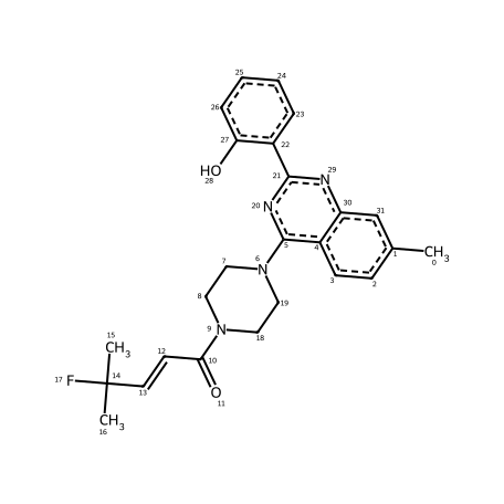 Cc1ccc2c(N3CCN(C(=O)C=CC(C)(C)F)CC3)nc(-c3ccccc3O)nc2c1